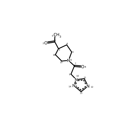 CC(=O)C1CCN(C(=O)Cn2cncn2)CC1